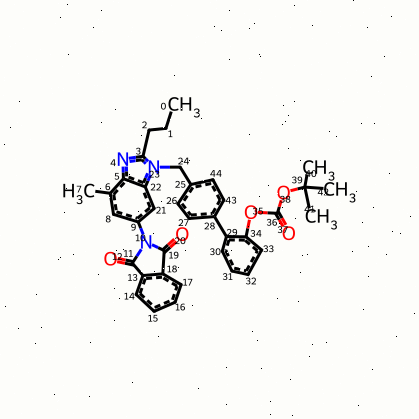 CCCc1nc2c(C)cc(N3C(=O)c4ccccc4C3=O)cc2n1Cc1ccc(-c2ccccc2OC(=O)OC(C)(C)C)cc1